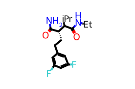 CCNC(=O)C(C(C)C)[C@H](CCc1cc(F)cc(F)c1)C(N)=O